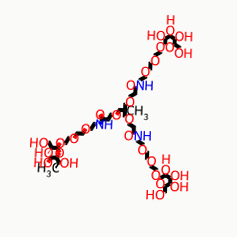 C[C@H](O)C(CO)OC(OCCOCCOCCNC(=O)CCOCC(C)(COCCC(=O)NCCOCCOCCOC1OC(CO)C(O)C(O)C1O)COCCC(=O)NCCOCCOCCOC1OC(CO)C(O)C(O)C1O)[C@H](O)CO